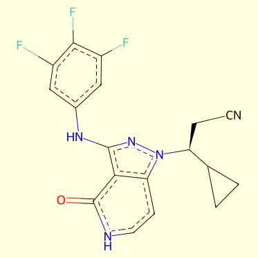 N#CC[C@@H](C1CC1)n1nc(Nc2cc(F)c(F)c(F)c2)c2c(=O)[nH]ccc21